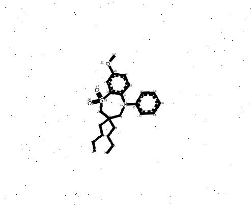 CCCCC1(CCCC)CN(c2ccccc2)c2ccc(OC)cc2S(=O)(=O)C1